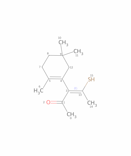 CC(=O)/C(C1=C(C)CCC(C)(C)C1)=C(\C)S